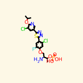 CC(C)Oc1ncc(-c2nnc(-c3cc(F)c(OC[C@H](N)[C@H](C)OP(=O)(O)O)cc3Cl)s2)cc1Cl